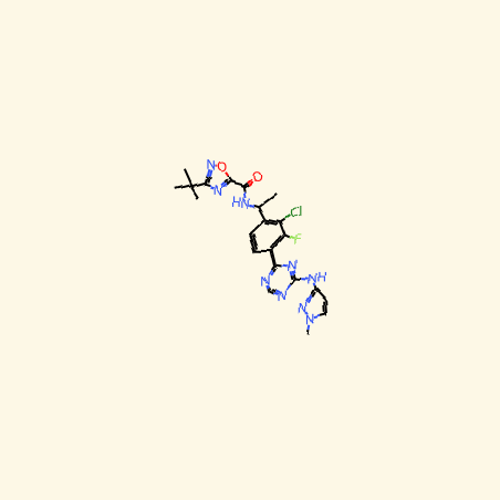 CC(NC(=O)c1nc(C(C)(C)C)no1)c1ccc(-c2ncnc(Nc3ccn(C)n3)n2)c(F)c1Cl